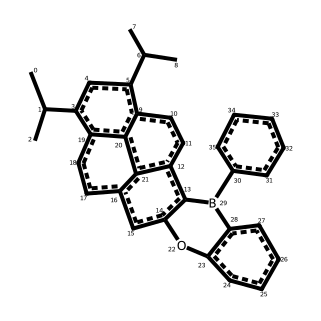 CC(C)c1cc(C(C)C)c2ccc3c4c(cc5ccc1c2c53)Oc1ccccc1B4c1ccccc1